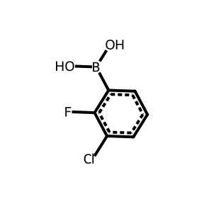 OB(O)c1cccc(Cl)c1F